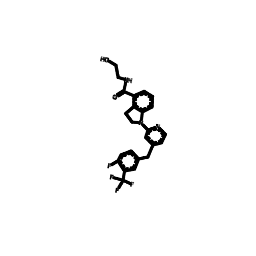 O=C(NCCO)c1cccc2c1CCN2c1cc(Cc2ccc(F)c(C(F)(F)F)c2)ccn1